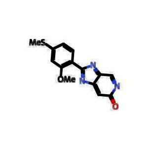 COc1cc(SC)ccc1C1=NC2=CC(=O)N=CC2=N1